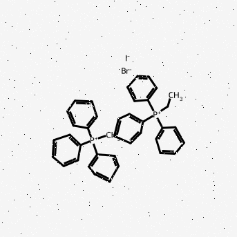 CC[P+](c1ccccc1)(c1ccccc1)c1ccccc1.C[P+](c1ccccc1)(c1ccccc1)c1ccccc1.[Br-].[I-]